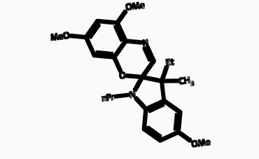 CCCN1c2ccc(OC)cc2C(C)(CC)C12C=Nc1c(OC)cc(OC)cc1O2